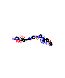 Nc1ncnc2c1c(-c1ccc(Oc3ccccc3)cc1)nn2C1CCCN(C(=O)CN2CCC(N3CC(C#Cc4ccc5c(c4)C(O)N(C4CCC(=O)NC4=O)C5O)C3)CC2)C1